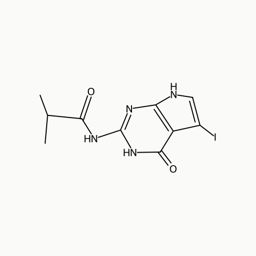 CC(C)C(=O)Nc1nc2[nH]cc(I)c2c(=O)[nH]1